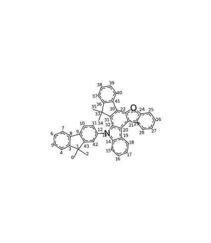 CC1(C)c2ccccc2-c2ccc(-n3c4ccccc4c4c5c(oc6ccccc65)c5c(c43)C(C)(C)c3ccccc3-5)cc21